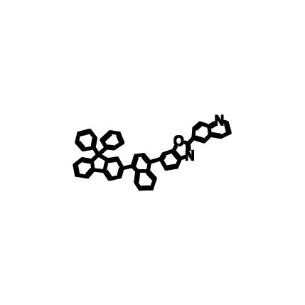 c1ccc(C2(c3ccccc3)c3ccccc3-c3ccc(-c4ccc(-c5ccc6nc(-c7ccc8ncccc8c7)oc6c5)c5ccccc45)cc32)cc1